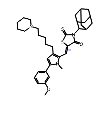 COc1cccc(-c2cc(CCCCCN3CCCCC3)c(/C=C3\SC(=S)N(C4C5CC6CC(C5)CC4C6)C3=O)n2C)c1